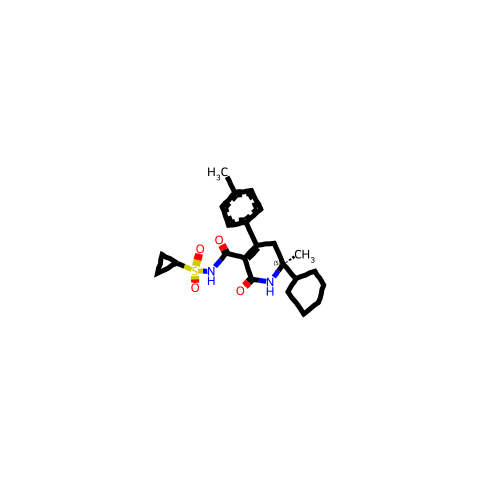 Cc1ccc(C2=C(C(=O)NS(=O)(=O)C3CC3)C(=O)N[C@](C)(C3CCCCC3)C2)cc1